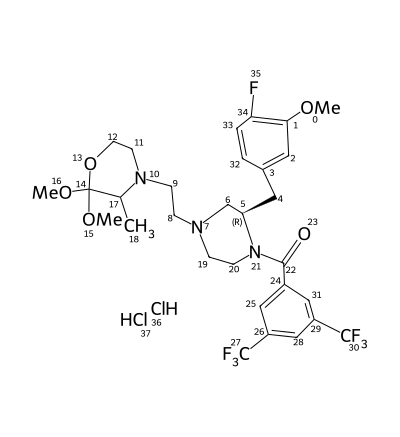 COc1cc(C[C@@H]2CN(CCN3CCOC(OC)(OC)C3C)CCN2C(=O)c2cc(C(F)(F)F)cc(C(F)(F)F)c2)ccc1F.Cl.Cl